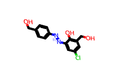 OCc1ccc(/N=N/c2cc(Cl)cc(CO)c2O)cc1